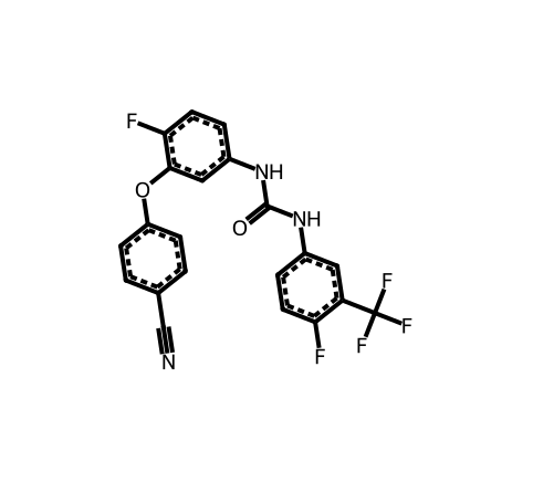 N#Cc1ccc(Oc2cc(NC(=O)Nc3ccc(F)c(C(F)(F)F)c3)ccc2F)cc1